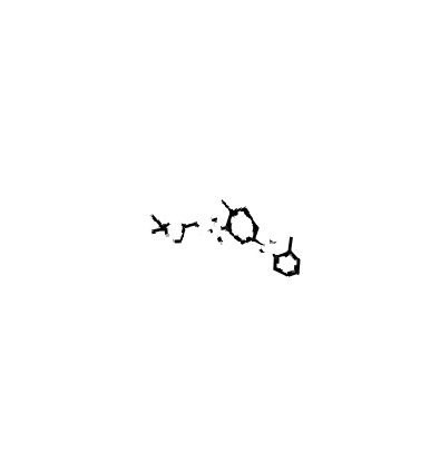 Cc1ccc(S(=O)(=O)c2ccccc2C)cc1S(=O)(=O)OCC1COC(C)(C)O1